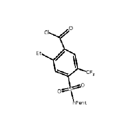 CCCCCS(=O)(=O)c1cc(CC)c(C(=O)Cl)cc1C(F)(F)F